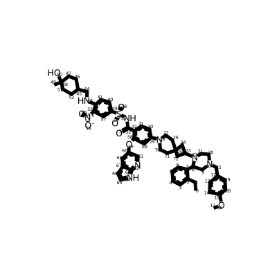 CCc1ccccc1C1CN(Cc2ccc(OC)cc2)CCN1C1CC2(CCN(c3ccc(C(=O)NS(=O)(=O)c4ccc(NCC5CCC(C)(O)CC5)c([N+](=O)[O-])c4)c(Oc4cnc5[nH]ccc5c4)c3)CC2)C1